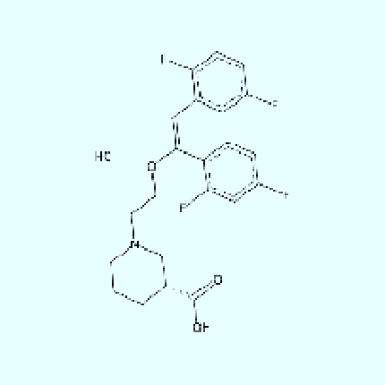 Cl.O=C(O)[C@@H]1CCCN(CCOC(=Cc2cc(F)ccc2F)c2ccc(F)cc2F)C1